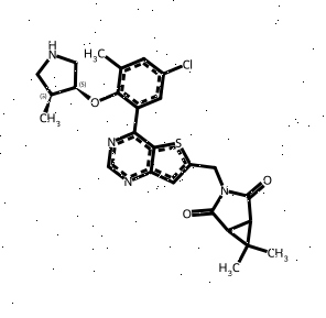 Cc1cc(Cl)cc(-c2ncnc3cc(CN4C(=O)C5C(C4=O)C5(C)C)sc23)c1O[C@@H]1CNC[C@@H]1C